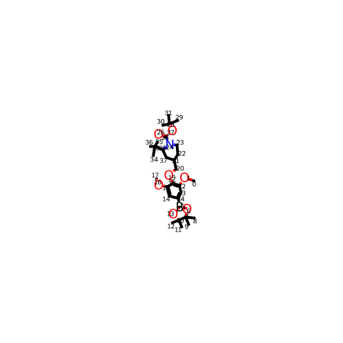 COc1cc(B2OC(C)(C)C(C)(C)O2)cc(OC)c1OCC1CCN(C(=O)OC(C)(C)C)C(C(C)(C)C)C1